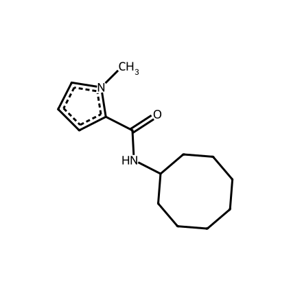 Cn1cccc1C(=O)NC1CCCCCCC1